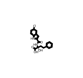 O=C(N[C@@](O)(CCc1ccccc1)C(=O)O)c1cc2cc(Cl)ccc2[nH]1